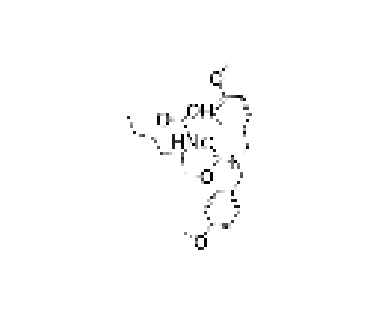 CCCC[C@@H](COC(=O)N(Cc1ccc(OC)cc1)Cc1ccc(OC)cc1)NC(=O)O